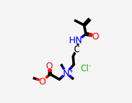 C=C(C)C(=O)NCCC[N+](C)(C)CC(=O)OC.[Cl-]